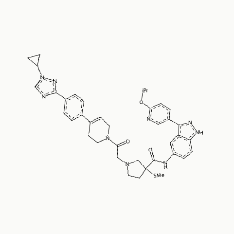 CSC1(C(=O)Nc2ccc3[nH]nc(-c4ccc(OC(C)C)nc4)c3c2)CCN(CC(=O)N2CC=C(c3ccc(-c4ncn(C5CC5)n4)cc3)CC2)C1